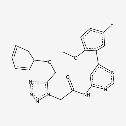 COc1ccc(F)cc1-c1cc(NC(=O)Cn2nnnc2COC2C=CC=CC2)ncn1